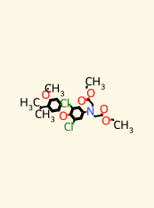 CCOC(=O)CN(CC(=O)OCC)c1cc(Cl)c(Oc2ccc(OC)c(C(C)C)c2)c(Cl)c1